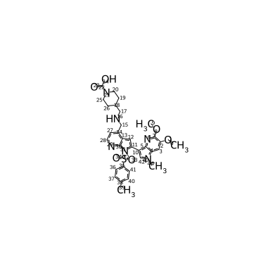 COc1cc2c(nc1OC)c(-c1cc3c(CNCC4CCN(C(=O)O)CC4)ccnc3n1S(=O)(=O)c1ccc(C)cc1)cn2C